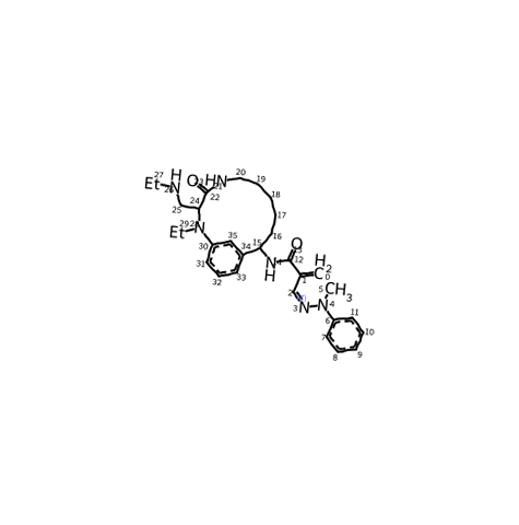 C=C(/C=N\N(C)c1ccccc1)C(=O)NC1CCCCCNC(=O)C(CNCC)N(CC)c2cccc1c2